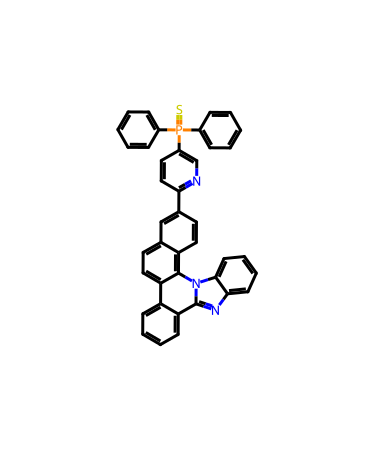 S=P(c1ccccc1)(c1ccccc1)c1ccc(-c2ccc3c(ccc4c5ccccc5c5nc6ccccc6n5c34)c2)nc1